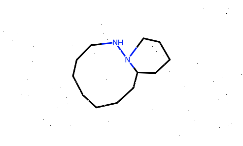 C1CCCNN2CCCCC2CCC1